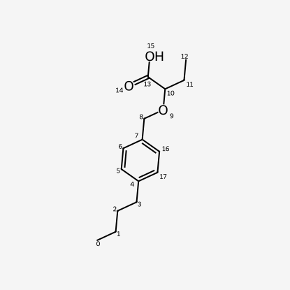 CCCCc1ccc(COC(CC)C(=O)O)cc1